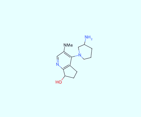 CNc1cnc2c(c1N1CCCC(N)C1)CCC2O